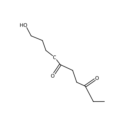 CCC(=O)CCC(=O)CCCCO